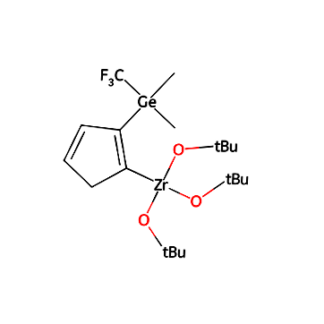 CC(C)(C)[O][Zr]([O]C(C)(C)C)([O]C(C)(C)C)[C]1=[C]([Ge]([CH3])([CH3])[C](F)(F)F)C=CC1